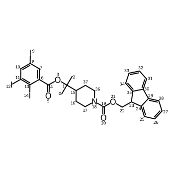 CC(C)(OC(=O)c1cc(I)cc(I)c1I)C1CCN(C(=O)OCC2c3ccccc3-c3ccccc32)CC1